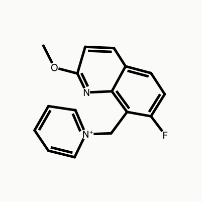 COc1ccc2ccc(F)c(C[n+]3ccccc3)c2n1